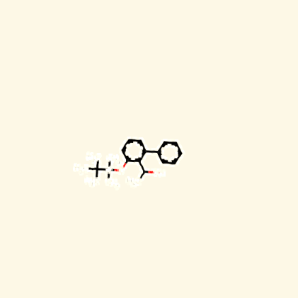 CC(O)c1c(O[Si](C)(C)C(C)(C)C)cccc1-c1ccccc1